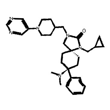 CN(C)[C@]1(c2ccccc2)CC[C@]2(CC1)CN(CC1CCN(c3cncnc3)CC1)C(=O)N2CC1CC1